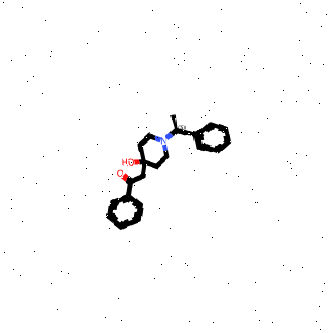 C[C@@H](c1ccccc1)N1CCC(O)(CC(=O)c2ccccc2)CC1